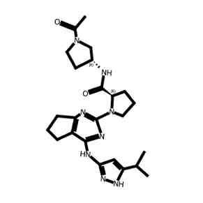 CC(=O)N1CC[C@@H](NC(=O)[C@H]2CCCN2c2nc3c(c(Nc4cc(C(C)C)[nH]n4)n2)CCC3)C1